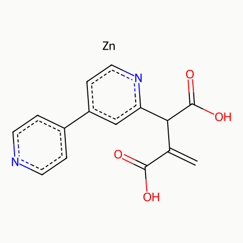 C=C(C(=O)O)C(C(=O)O)c1cc(-c2ccncc2)ccn1.[Zn]